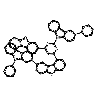 c1ccc(-c2ccc3c(c2)c2ccccc2n3-c2nc(-c3ccc4c(c3)oc3ccccc34)nc(-c3cccc4oc5ccc(-c6ccc7c8ccccc8n(-c8ccccc8)c7c6)cc5c34)n2)cc1